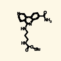 CC(C)(C)OC(=O)NCCCNc1nc2cc(C(N)=O)ccc2c2cnccc12